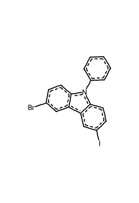 Brc1ccc2c(c1)c1cc(I)ccc1n2-c1ccccc1